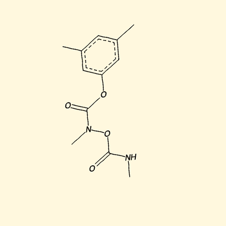 CNC(=O)ON(C)C(=O)Oc1cc(C)cc(C)c1